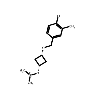 Cc1cc(CO[C@H]2C[C@@H](O[SiH](C)C)C2)ccc1Cl